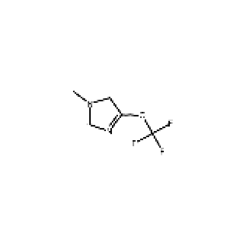 CN1[CH]N=C(OC(F)(F)F)C1